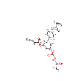 C=C(C)C(=O)OCC(=O)Oc1cc(OC(=O)COC)cc(-c2ccc(OC(=O)C(=C)C)cc2)c1